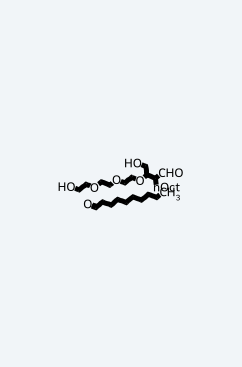 CCCCCCCCC(C=O)C(CO)OCCOCCOCCO.CCCCCCCCCC=O